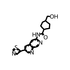 O=C(Nc1cc2cc(-c3cncs3)cnc2cn1)C1CCC(CO)CC1